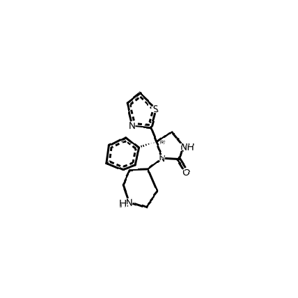 O=C1NC[C@](c2ccccc2)(c2nccs2)N1C1CCNCC1